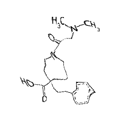 CN(C)CC(=O)N1CCC(Cc2ccccc2)(C(=O)O)CC1